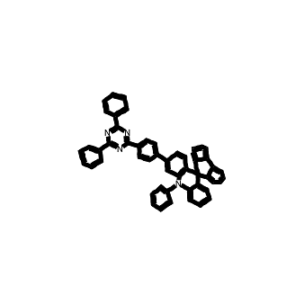 c1ccc(-c2nc(-c3ccccc3)nc(-c3ccc(-c4ccc5c(c4)N(c4ccccc4)c4ccccc4C54c5ccccc5-c5ccccc54)cc3)n2)cc1